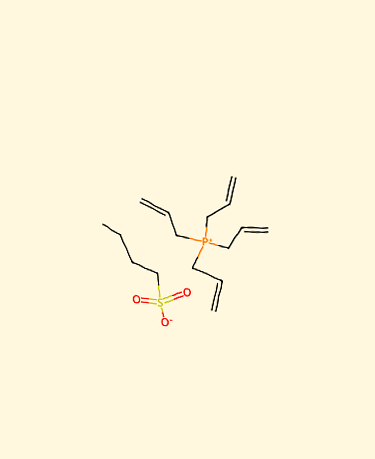 C=CC[P+](CC=C)(CC=C)CC=C.CCCCS(=O)(=O)[O-]